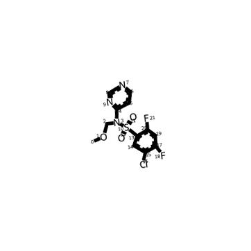 COCN(c1ccncn1)S(=O)(=O)c1cc(Cl)c(F)cc1F